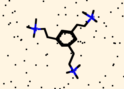 C[N+](C)(C)CCc1cc(CC[N+](C)(C)C)cc(CC[N+](C)(C)C)c1